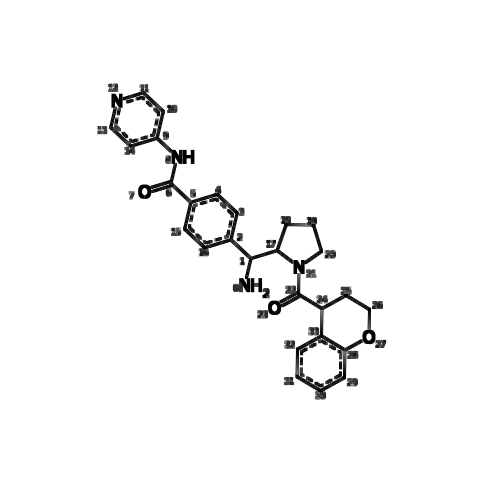 NC(c1ccc(C(=O)Nc2ccncc2)cc1)C1CCCN1C(=O)C1CCOc2ccccc21